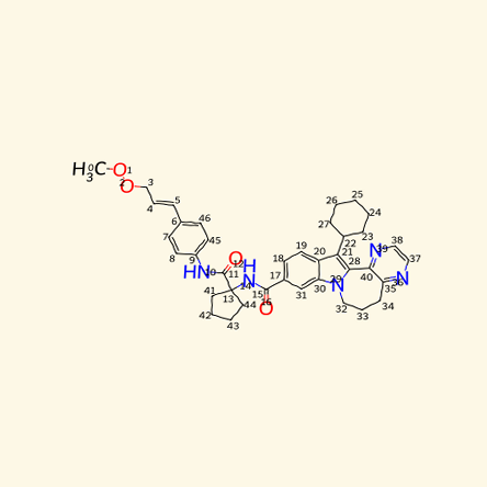 COOC/C=C/c1ccc(NC(=O)C2(NC(=O)c3ccc4c(C5CCCCC5)c5n(c4c3)CCCc3nccnc3-5)CCCC2)cc1